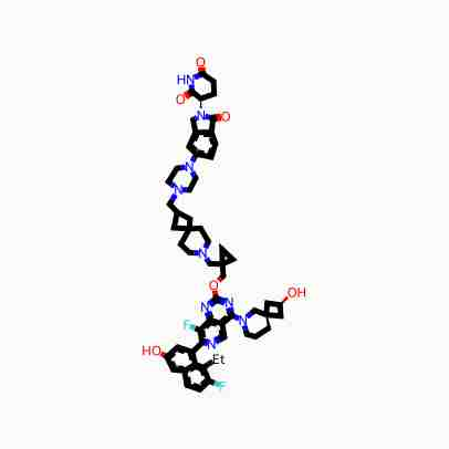 CCc1c(F)ccc2cc(O)cc(-c3ncc4c(N5CCC[C@]6(C5)C[C@H](O)C6)nc(OCC5(CN6CCC7(CC6)CC(CN6CCN(c8ccc9c(c8)CN([C@H]8CCC(=O)NC8=O)C9=O)CC6)C7)CC5)nc4c3F)c12